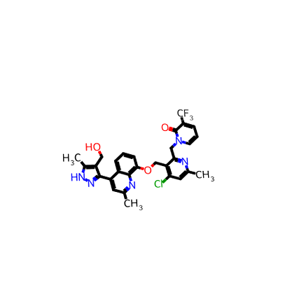 Cc1cc(Cl)c(COc2cccc3c(-c4n[nH]c(C)c4CO)cc(C)nc23)c(Cn2cccc(C(F)(F)F)c2=O)n1